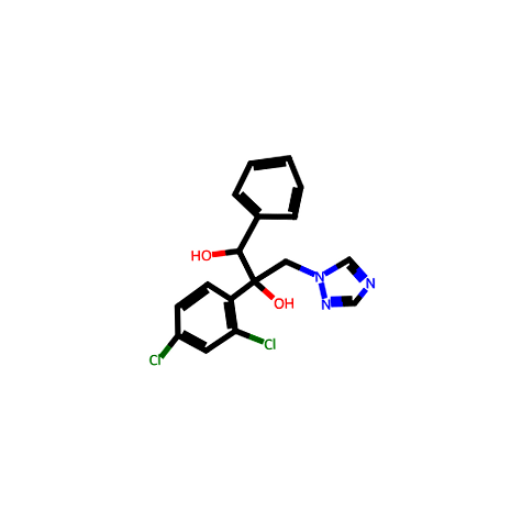 OC(c1ccccc1)C(O)(Cn1cncn1)c1ccc(Cl)cc1Cl